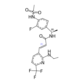 CCNc1nc(C(F)(F)F)ccc1/C=C/C(=O)N[C@H](C)c1ccc(NS(C)(=O)=O)c(F)c1